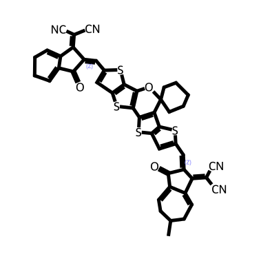 CC1CC=C2C(=O)/C(=C\c3cc4sc5c(c4s3)C3(CCCCC3)Oc3c-5sc4cc(/C=C5\C(=O)C6=CCCC=C6C5=C(C#N)C#N)sc34)C(=C(C#N)C#N)C2=CC1